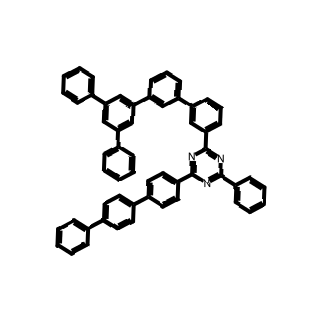 c1ccc(-c2ccc(-c3ccc(-c4nc(-c5ccccc5)nc(-c5cccc(-c6cccc(-c7cc(-c8ccccc8)cc(-c8ccccc8)c7)c6)c5)n4)cc3)cc2)cc1